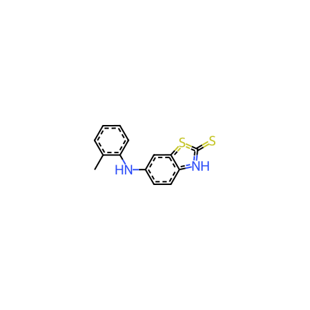 Cc1ccccc1Nc1ccc2[nH]c(=S)sc2c1